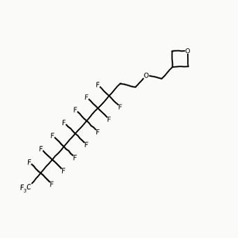 FC(F)(F)C(F)(F)C(F)(F)C(F)(F)C(F)(F)C(F)(F)C(F)(F)C(F)(F)CCOCC1COC1